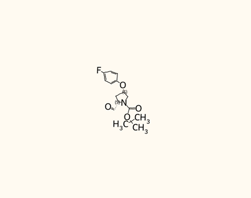 CC(C)(C)OC(=O)N1C[C@@H](Oc2ccc(F)cc2)C[C@H]1C=O